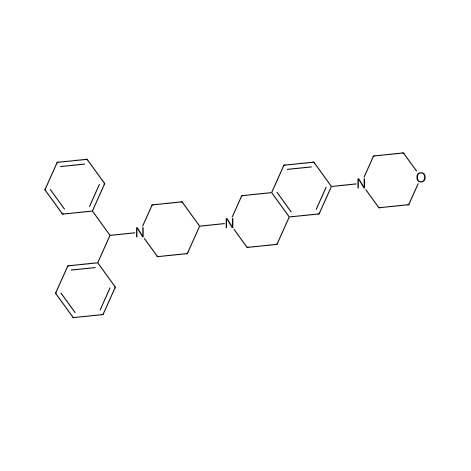 c1ccc(C(c2ccccc2)N2CCC(N3CCc4cc(N5CCOCC5)ccc4C3)CC2)cc1